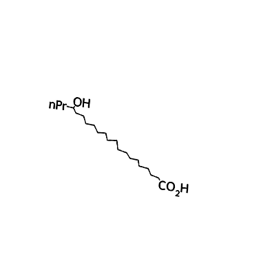 CCCC(O)CCCCCCCCCCCCCCCCC(=O)O